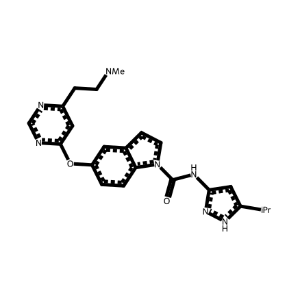 CNCCc1cc(Oc2ccc3c(ccn3C(=O)Nc3cc(C(C)C)[nH]n3)c2)ncn1